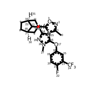 Cc1noc(N2C[C@H]3CC[C@@H](C2)C3Nc2nc(Oc3ccc(F)c(C(F)(F)F)c3)n(C)n2)n1